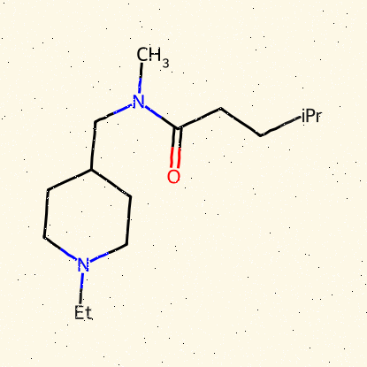 CCN1CCC(CN(C)C(=O)CCC(C)C)CC1